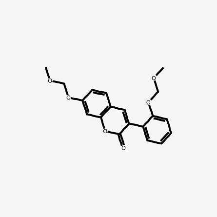 COCOc1ccc2cc(-c3ccccc3OCOC)c(=O)oc2c1